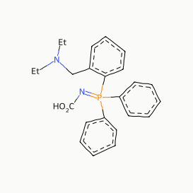 CCN(CC)Cc1ccccc1P(=NC(=O)O)(c1ccccc1)c1ccccc1